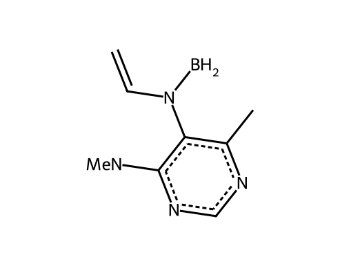 BN(C=C)c1c(C)ncnc1NC